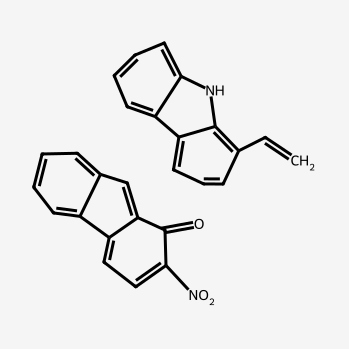 C=Cc1cccc2c1[nH]c1ccccc12.O=C1C2=Cc3ccccc3C2=CC=C1[N+](=O)[O-]